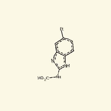 CCc1ccc2[nH]c(NC(=O)O)nc2c1